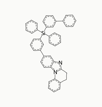 c1ccc(-c2cccc([Si](c3ccccc3)(c3ccccc3)c3cccc(-c4ccc5c(c4)nc4n5-c5ccccc5CC4)c3)c2)cc1